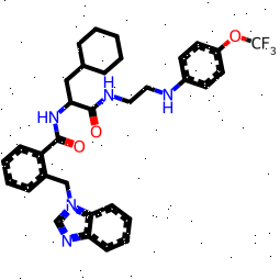 O=C(NC(CC1CCCCC1)C(=O)NCCNc1ccc(OC(F)(F)F)cc1)c1ccccc1Cn1cnc2ccccc21